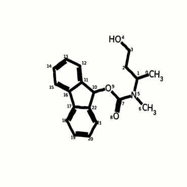 CC(CCO)N(C)C(=O)OC1c2ccccc2-c2ccccc21